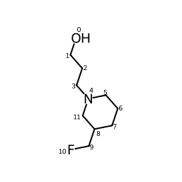 OCCCN1CCCC(CF)C1